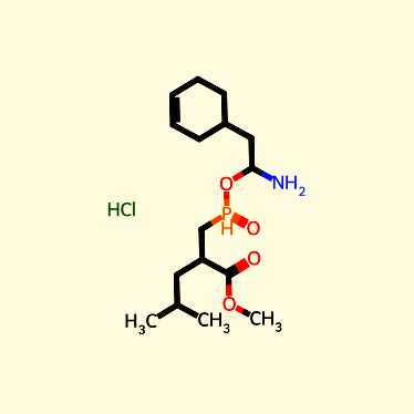 COC(=O)C(CC(C)C)C[PH](=O)OC(N)CC1CC=CCC1.Cl